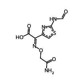 NC(=O)CO/N=C(/C(=O)O)c1csc(NC=O)n1